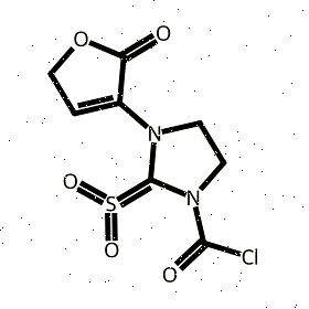 O=C1OCC=C1N1CCN(C(=O)Cl)C1=S(=O)=O